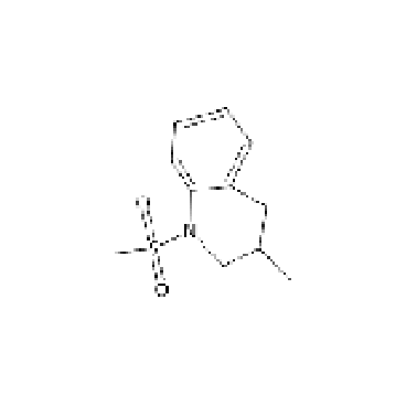 CC1Cc2ccccc2N(S(C)(=O)=O)C1